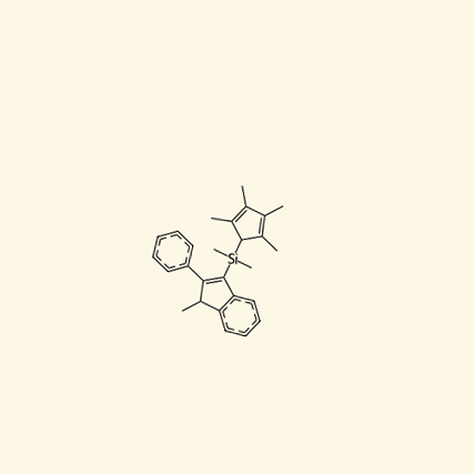 CC1=C(C)C([Si](C)(C)C2=C(c3ccccc3)C(C)c3ccccc32)C(C)=C1C